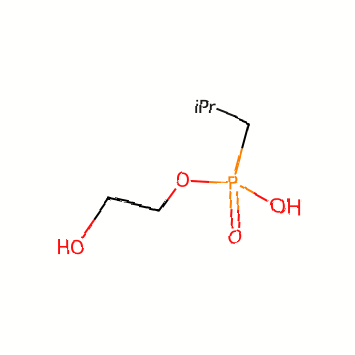 CC(C)CP(=O)(O)OCCO